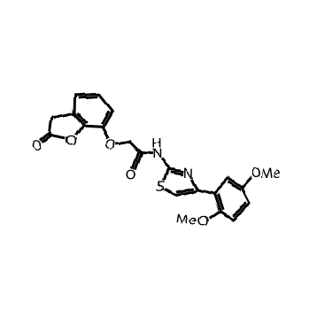 COc1ccc(OC)c(-c2csc(NC(=O)COc3cccc4c3OC(=O)C4)n2)c1